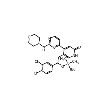 CC(C)(C)[Si](C)(C)OC(Cc1c[nH]c(=O)cc1-c1ccnc(NC2CCOCC2)n1)c1ccc(Cl)c(Cl)c1